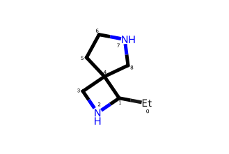 [CH2]CC1NCC12CCNC2